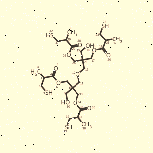 CC(CS)C(=O)OCC(CO)(COCC(CO)(COC(=O)C(C)CS)COC(=O)C(C)CS)COC(=O)C(C)CS